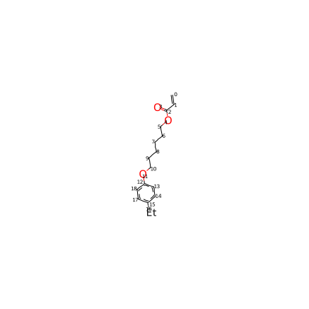 C=CC(=O)OCCCCCCOc1ccc(CC)cc1